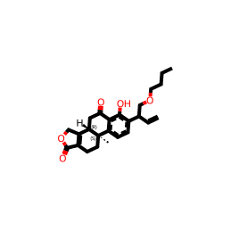 C=CC(COCCCC)c1ccc2c(c1O)C(=O)C[C@H]1C3=C(CC[C@]21C)C(=O)OC3